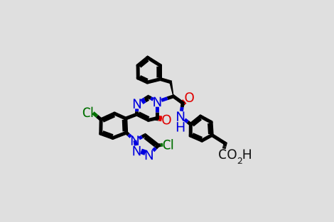 O=C(O)Cc1ccc(NC(=O)[C@H](Cc2ccccc2)n2cnc(-c3cc(Cl)ccc3-n3cc(Cl)nn3)cc2=O)cc1